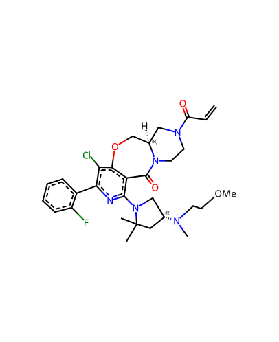 C=CC(=O)N1CCN2C(=O)c3c(N4C[C@H](N(C)CCOC)CC4(C)C)nc(-c4ccccc4F)c(Cl)c3OC[C@H]2C1